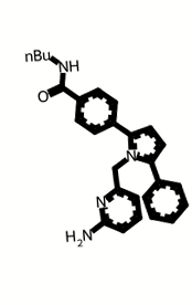 CCCCNC(=O)c1ccc(-c2ccc(-c3ccccc3)n2Cc2cccc(N)n2)cc1